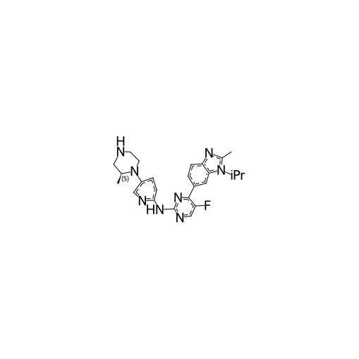 Cc1nc2ccc(-c3nc(Nc4ccc(N5CCNC[C@@H]5C)cn4)ncc3F)cc2n1C(C)C